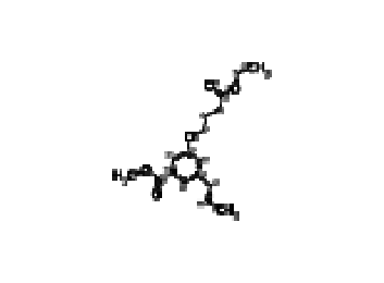 CCOC(=O)CCCOc1cc(CSC)cc([N+](=O)OC)c1